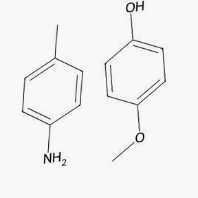 COc1ccc(O)cc1.Cc1ccc(N)cc1